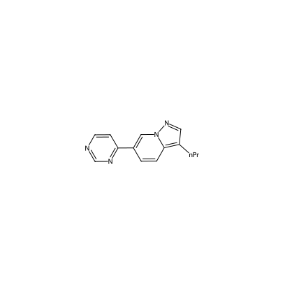 CCCc1cnn2cc(-c3ccncn3)ccc12